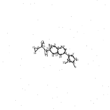 Cc1ncc(-c2cnc3cnc(NC(=O)C4CC4)cc3c2)n1C